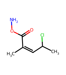 CC(=CC(C)Cl)C(=O)ON